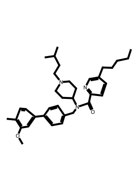 CCCCCc1ccc(C(=O)N(Cc2ccc(-c3ccc(C)c(OC)c3)cc2)C2CCN(CCC(C)C)CC2)nc1